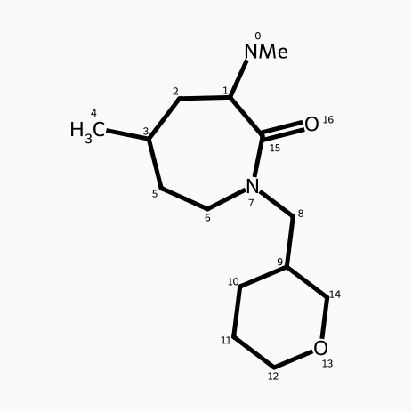 CNC1CC(C)CCN(CC2CCCOC2)C1=O